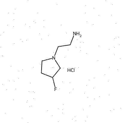 Cl.NCCN1CCC(F)C1